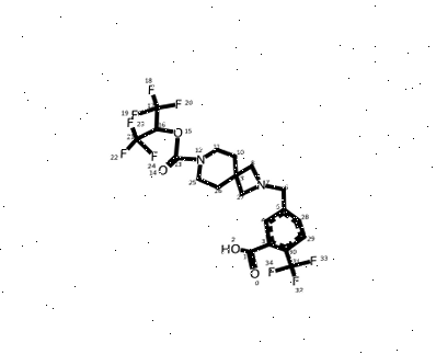 O=C(O)c1cc(CN2CC3(CCN(C(=O)OC(C(F)(F)F)C(F)(F)F)CC3)C2)ccc1C(F)(F)F